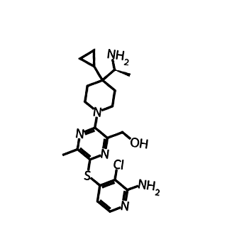 Cc1nc(N2CCC(C3CC3)([C@H](C)N)CC2)c(CO)nc1Sc1ccnc(N)c1Cl